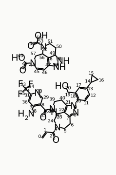 C=CC(=O)N1CCc2nn(-c3ccc(C4CC4)cc3CO)c3c2[C@H](C1)N(C(=O)c1cnc(C(F)(F)F)cc1N)CC3.O=C(O)N1C=CC2=C3C(CCN(C(=O)O)C3C1)NN2